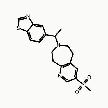 CC(c1ccc2scnc2c1)N1CCc2cc(S(C)(=O)=O)cnc2CC1